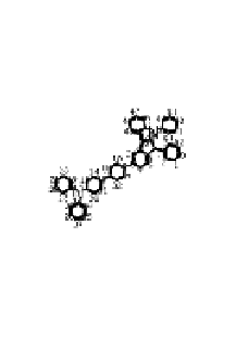 c1ccc(C2c3ccc(-c4ccc(-c5ccc(N(c6ccccc6)c6ccccc6)cc5)cc4)cc3-c3c2n(-c2ccccc2)c2ccccc32)cc1